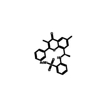 CC(=O)NS(=O)(=O)c1ccccc1N[C@H](C)c1cc(C)cc2c(=O)c(C)c(-c3ccccc3)oc12